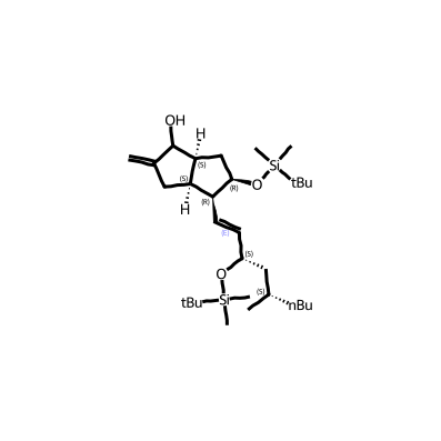 C=C1C[C@@H]2[C@H](/C=C/[C@H](C[C@@H](C)CCCC)O[Si](C)(C)C(C)(C)C)[C@H](O[Si](C)(C)C(C)(C)C)C[C@@H]2C1O